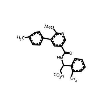 COc1ncc(C(=O)NC(CC(=O)O)c2ccccc2C)cc1-c1ccc(C)cc1